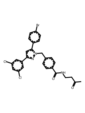 CC(=O)CCNC(=O)c1ccc(Cn2nc(-c3cc(Cl)cc(Cl)c3)cc2-c2ccc(Br)cc2)cc1